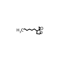 CCCCCCC1CCOC12CO2